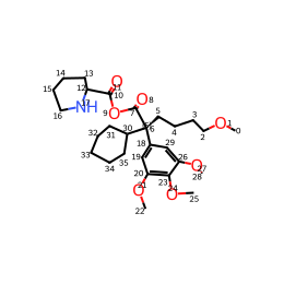 COCCCC[C@@](C(=O)OC(=O)C1CCCCN1)(c1cc(OC)c(OC)c(OC)c1)C1CCCCC1